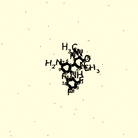 Cn1nc2c(-c3cc(N)ccc3Nc3c(F)cc(F)cc3F)cn(C)c(=O)c2n1